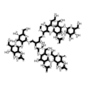 CO[C@H](OC[C@H](O)C(CO[C@H]1OC(CO)[C@@H](O)C(O)C1O[C@@H]1OC(CO)[C@@H](O)C(O)C1NC(C)=O)O[C@H](CO)O[C@@H]1C(CO)O[C@@H](O[C@@H]2C(CO)O[C@@H](C)C(NC(C)=O)C2O)C(NC(C)=O)C1O)C(O[C@@H]1OC(CO)[C@@H](O[C@@H]2OC(CO)[C@H](O)C(O)C2O)C(O)C1NC(C)=O)C(O)[C@H](O)CCO